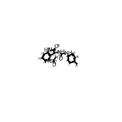 Cc1ccc(NC(=O)N[C@]2(CC(=O)O)C(=O)Nc3ccccc32)cc1